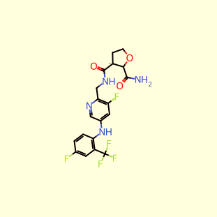 NC(=O)C1OCC[C]1C(=O)NCc1ncc(Nc2ccc(F)cc2C(F)(F)F)cc1F